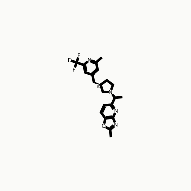 Cc1cc(C[C@H]2CCN(C(C)c3ccc4oc(C)nc4n3)C2)cc(C(F)(F)F)n1